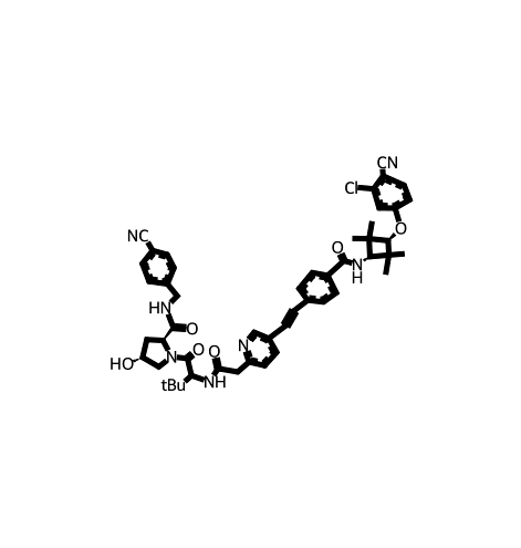 CC(C)(C)C(NC(=O)Cc1ccc(C#Cc2ccc(C(=O)N[C@H]3C(C)(C)[C@H](Oc4ccc(C#N)c(Cl)c4)C3(C)C)cc2)cn1)C(=O)N1C[C@H](O)C[C@H]1C(=O)NCc1ccc(C#N)cc1